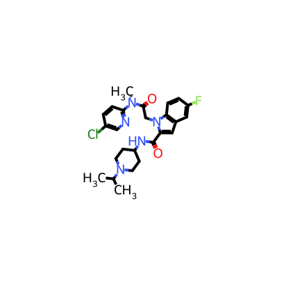 CC(C)N1CCC(NC(=O)c2cc3cc(F)ccc3n2CC(=O)N(C)c2ccc(Cl)cn2)CC1